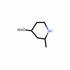 COC1CCNC(C)C1